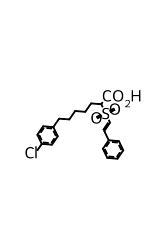 O=C(O)C(CCCCCc1ccc(Cl)cc1)S(=O)(=O)C=Cc1ccccc1